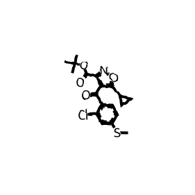 CSc1ccc(C(=O)c2c(C(=O)OC(C)(C)C)noc2C2CC2)c(Cl)c1